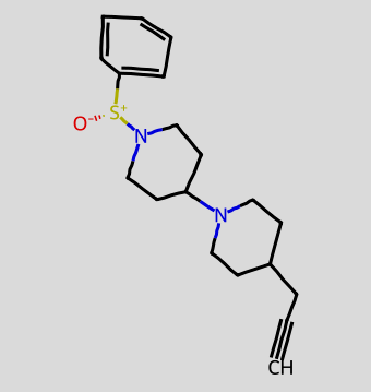 C#CCC1CCN(C2CCN([S@+]([O-])c3ccccc3)CC2)CC1